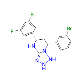 Fc1cc(Br)cc([C@@H]2C[C@H](c3cccc(Br)c3)N3NNN=C3N2)c1